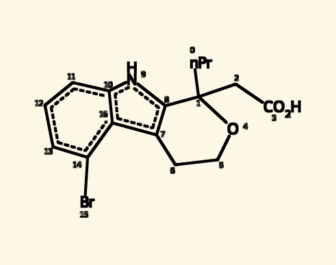 CCCC1(CC(=O)O)OCCc2c1[nH]c1cccc(Br)c21